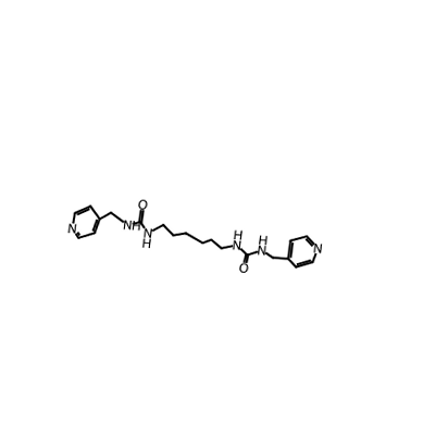 O=C(NCCCCCCNC(=O)NCc1ccncc1)NCc1ccncc1